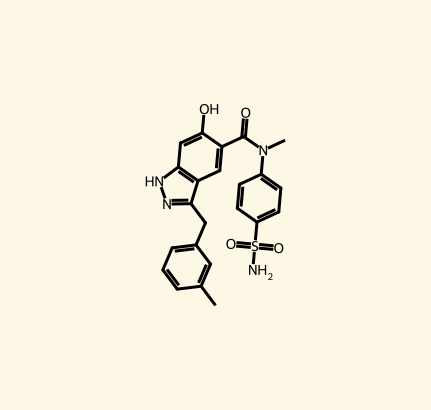 Cc1cccc(Cc2n[nH]c3cc(O)c(C(=O)N(C)c4ccc(S(N)(=O)=O)cc4)cc23)c1